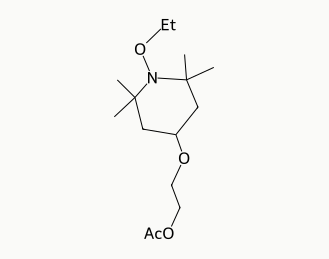 CCON1C(C)(C)CC(OCCOC(C)=O)CC1(C)C